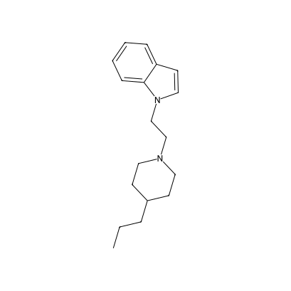 CCCC1CCN(CCn2ccc3ccccc32)CC1